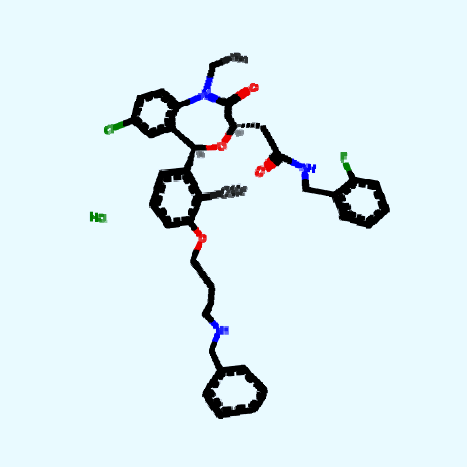 COc1c(OCCCNCc2ccccc2)cccc1[C@@H]1O[C@@H](CC(=O)NCc2ccccc2F)C(=O)N(CC(C)(C)C)c2ccc(Cl)cc21.Cl